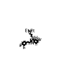 CCN(CC)CCCNc1nc(/C=C/c2ccc(F)c(F)c2)nc2ccc(Br)cc12